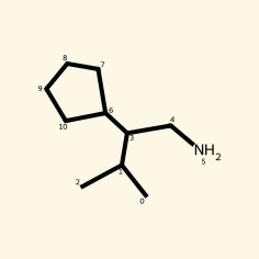 CC(C)C(CN)C1CCCC1